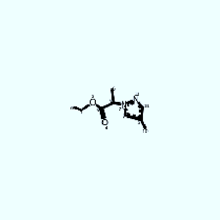 CCOC(=O)C(C)n1cc(C)cn1